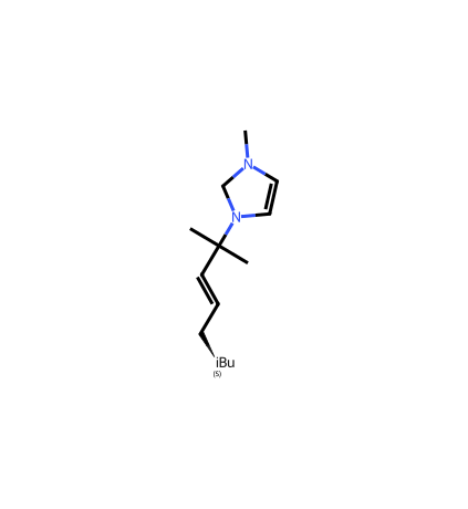 CC[C@H](C)CC=CC(C)(C)N1C=CN(C)C1